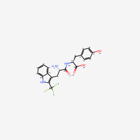 N[C@@H](Cc1c(C(F)(F)F)[nH]c2ccccc12)C(=O)N[C@@H](Cc1ccc(O)cc1)C(=O)O